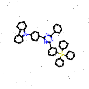 c1ccc(-c2nc(-c3ccc(-n4c5ccccc5c5ccccc54)cc3)nc(-c3cccc(S(c4ccccc4)(c4ccccc4)c4ccccc4)c3)n2)cc1